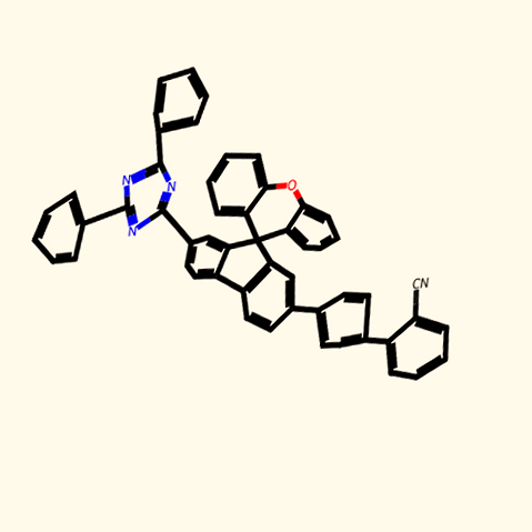 N#Cc1ccccc1-c1ccc(-c2ccc3c(c2)C2(c4ccccc4Oc4ccccc42)c2cc(-c4nc(-c5ccccc5)nc(-c5ccccc5)n4)ccc2-3)cc1